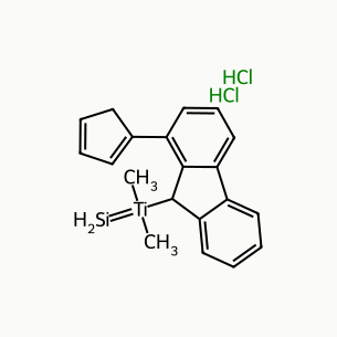 Cl.Cl.[CH3][Ti]([CH3])(=[SiH2])[CH]1c2ccccc2-c2cccc(C3=CC=CC3)c21